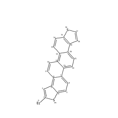 CCc1cc2c(ccc3c2ccc2c4ccc5sccc5c4ccc32)s1